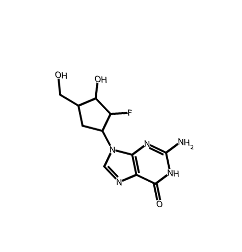 Nc1nc2c(ncn2C2CC(CO)C(O)C2F)c(=O)[nH]1